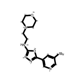 CC(C)(C)c1cncc(-c2nnc(NCCN3CCOCC3)o2)c1